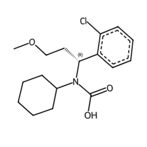 COCC[C@H](c1ccccc1Cl)N(C(=O)O)C1CCCCC1